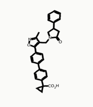 Cc1noc(-c2ccc(-c3ccc(C4(C(=O)O)CC4)cc3)cc2)c1CN1CC(c2ccccc2)CC1=O